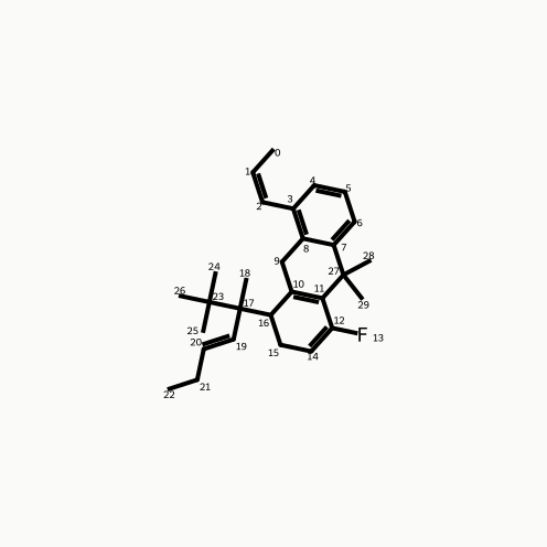 C/C=C\c1cccc2c1CC1=C(C(F)=CCC1C(C)(C=CCC)C(C)(C)C)C2(C)C